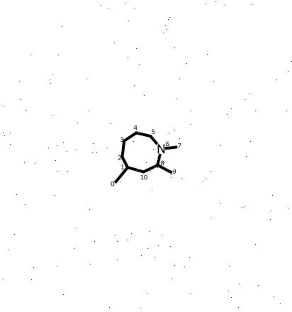 CC1CCCCN(C)C(C)C1